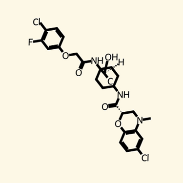 CN1C[C@@H](C(=O)NC23CCC(NC(=O)COc4ccc(Cl)c(F)c4)(CC2)[C@@H](O)C3)Oc2ccc(Cl)cc21